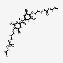 C=CCOC(=O)OCCCOc1c(Br)cc(S(=O)(=O)c2cc(Br)c(OCCCOC(=O)OCC=C)c(Br)c2)cc1Br